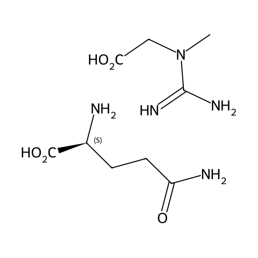 CN(CC(=O)O)C(=N)N.NC(=O)CC[C@H](N)C(=O)O